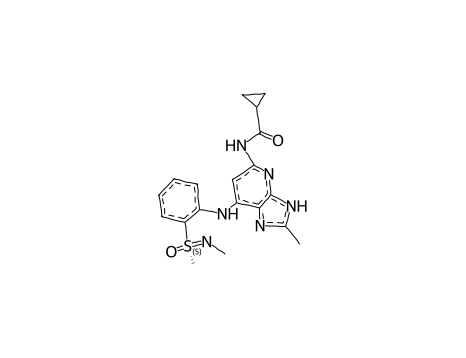 CN=[S@@](C)(=O)c1ccccc1Nc1cc(NC(=O)C2CC2)nc2[nH]c(C)nc12